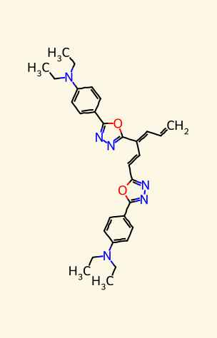 C=C/C=C(\C=C\c1nnc(-c2ccc(N(CC)CC)cc2)o1)c1nnc(-c2ccc(N(CC)CC)cc2)o1